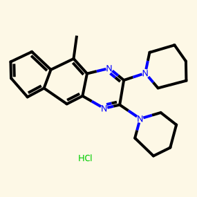 Cc1c2ccccc2cc2nc(N3CCCCC3)c(N3CCCCC3)nc12.Cl